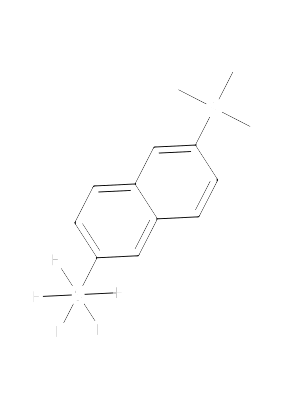 C[Si](C)(C)c1ccc2cc(S(F)(F)(F)(F)F)ccc2c1